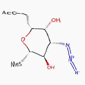 CS[C@@H]1O[C@H](COC(C)=O)[C@H](O)[C@H](N=[N+]=[N-])[C@H]1O